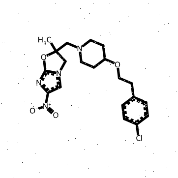 CC1(CN2CCC(OCCc3ccc(Cl)cc3)CC2)Cn2cc([N+](=O)[O-])nc2O1